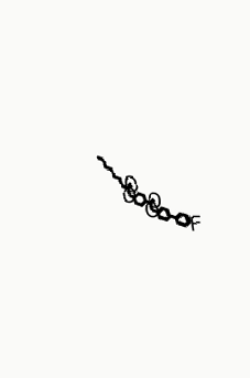 CCCCCCCC(=O)OC1CCC(C(=O)Oc2ccc(-c3ccc(F)cc3)cc2)CC1